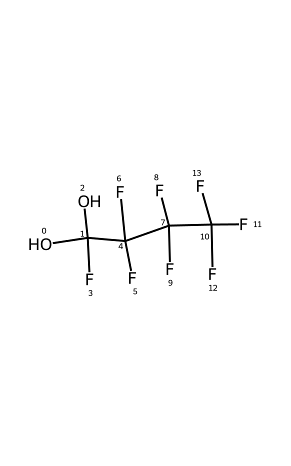 OC(O)(F)C(F)(F)C(F)(F)C(F)(F)F